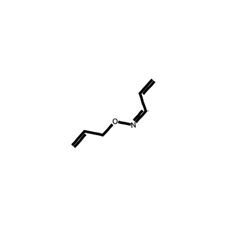 C=C/[C]=N\OCC=C